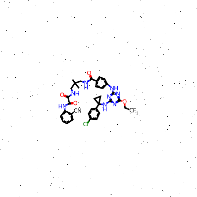 CC(C)(CNC(=O)C(=O)Nc1ccccc1C#N)CNC(=O)c1ccc(Nc2nc(NC3(c4ccc(Cl)cc4)CC3)nc(OCC(F)(F)F)n2)cc1